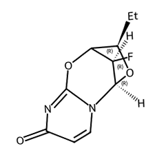 CC[C@H]1O[C@@H]2[C@H](F)C1Oc1nc(=O)ccn12